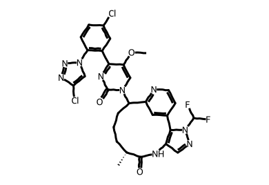 COc1cn(C2CCC[C@@H](C)C(=O)Nc3cnn(C(F)F)c3-c3ccnc2c3)c(=O)nc1-c1cc(Cl)ccc1-n1cc(Cl)nn1